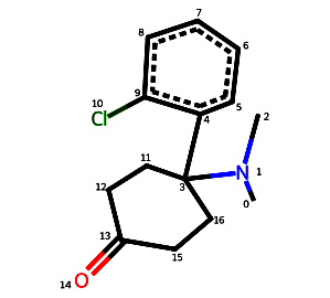 CN(C)C1(c2ccccc2Cl)CCC(=O)CC1